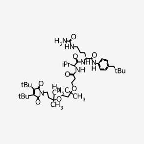 CC(C)C(NC(=O)CCOC(C)(C)CCOC(C)(C)CCN1C(=O)C(C(C)(C)C)=C(C(C)(C)C)C1=O)C(=O)N[C@@H](CCCNC(N)=O)C(=O)Nc1ccc(CC(C)(C)C)cc1